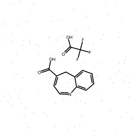 O=C(O)C(F)(F)F.O=C(O)C1=CC=Nc2ccccc2C1